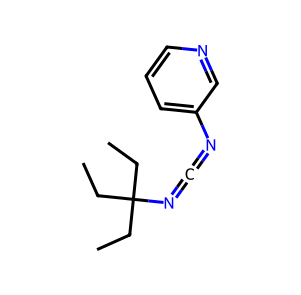 CCC(CC)(CC)N=C=Nc1cccnc1